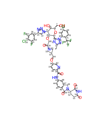 Cc1nc([C@@H]2O[C@H](CO)[C@H](O)[C@H](n3cc(-c4cc(F)c(Cl)c(F)c4)nn3)[C@H]2OCC(=O)N2CC(COc3ccc(C(=O)Nc4ccc5c(c4)CN(C4CCC(=O)NC4=O)C5=O)nc3)C2)n(-c2cc(Cl)ccc2C(F)(F)F)n1